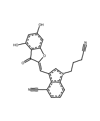 N#CCCCn1cc(C=C2Oc3cc(O)cc(O)c3C2=O)c2c(C#N)cccc21